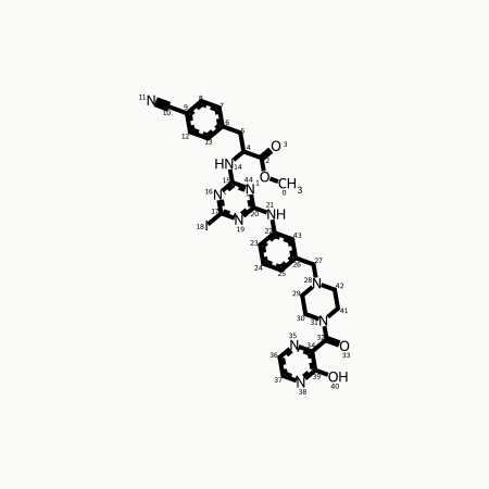 COC(=O)C(Cc1ccc(C#N)cc1)Nc1nc(I)nc(Nc2cccc(CN3CCN(C(=O)c4nccnc4O)CC3)c2)n1